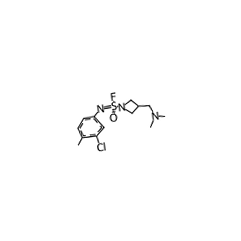 Cc1ccc(N=S(=O)(F)N2CC(CN(C)C)C2)cc1Cl